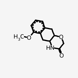 COc1cccc2c1CC1NC(=O)COC1C2